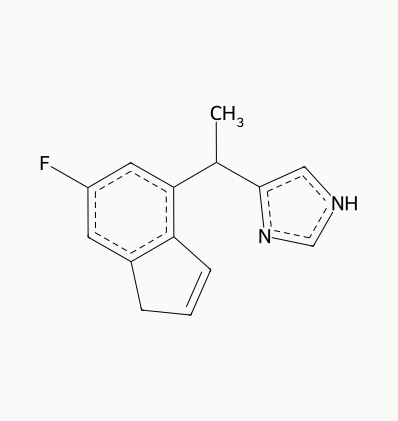 CC(c1c[nH]cn1)c1cc(F)cc2c1C=CC2